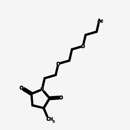 CC(=O)CCOCCOCCN1C(=O)CC(C)C1=O